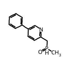 C[PH](=O)Cc1ccc(-c2ccccc2)cn1